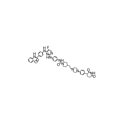 O=C1CCC(c2ccc(N3CCN(CCC4CCN(C(=O)Nc5ccc(Nc6ncc(F)c(Nc7ccc(C(=O)Nc8ccccc8Cl)cc7)n6)cc5)CC4)CC3)cc2)C(=O)N1